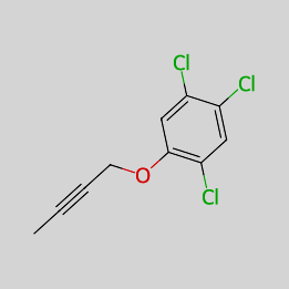 CC#CCOc1cc(Cl)c(Cl)cc1Cl